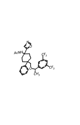 CC(=O)NC1(c2cnco2)CCC(CO[C@H](C)c2cc(C(F)(F)F)cc(C(F)(F)F)c2)(c2ccccc2)CC1